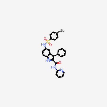 CC(C)(C)c1ccc(S(=O)(=O)Nc2ccc3[nH]c(C(=O)Nc4ccccn4)c(-c4ccccc4)c3c2)cc1